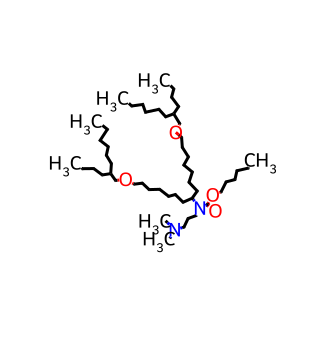 CCCCCCOC(=O)N(CCCN(C)C)C(CCCCCCCOCC(CCCC)CCCCCC)CCCCCCCOCC(CCCC)CCCCCC